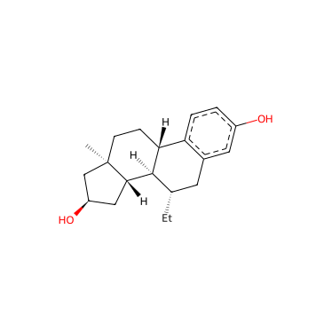 CC[C@H]1Cc2cc(O)ccc2[C@H]2CC[C@]3(C)C[C@H](O)C[C@H]3[C@H]12